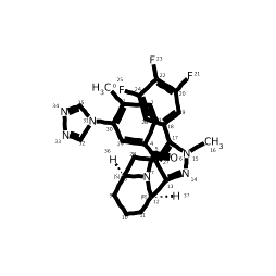 Cc1ccc(C(=O)N2[C@H]3CCC[C@@H]2c2nn(C)c(-c4cc(F)c(F)c(F)c4)c2C3)cc1-n1cnnc1